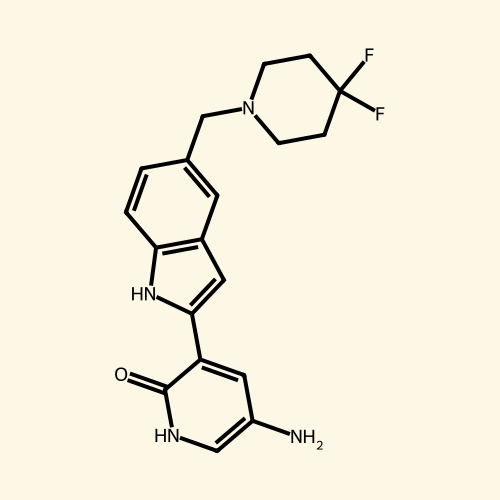 Nc1c[nH]c(=O)c(-c2cc3cc(CN4CCC(F)(F)CC4)ccc3[nH]2)c1